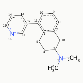 CN(C)C1CCc2c(cccc2-c2cccnc2)C1